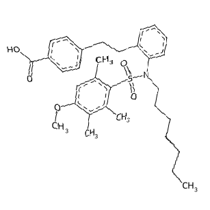 CCCCCCCN(c1ccccc1CCc1ccc(C(=O)O)cc1)S(=O)(=O)c1c(C)cc(OC)c(C)c1C